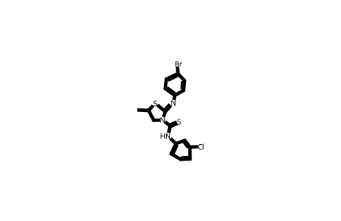 CC1CN(C(=S)Nc2cccc(Cl)c2)C(=Nc2ccc(Br)cc2)S1